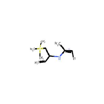 C=CC(CS(C)(C)C)N/C(C)=C\CC